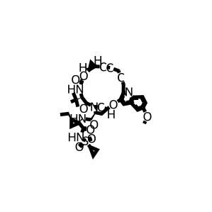 CC[C@@H]1C[C@]1(NC(=O)[C@@H]1C[C@@H]2CN1C(=O)[C@H](C(C)(C)C)NC(=O)O[C@@H]1C[C@H]1CCCCCc1nc3ccc(OC)cc3cc1O2)C(=O)NS(=O)(=O)C1CC1